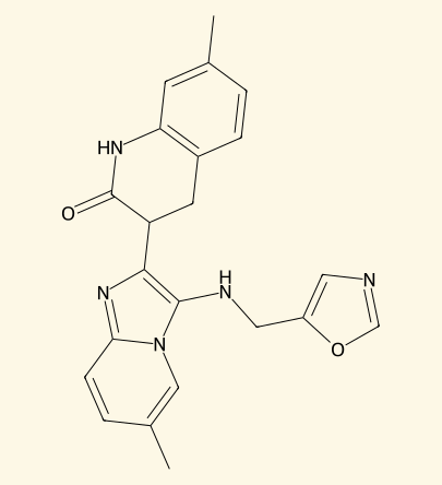 Cc1ccc2c(c1)NC(=O)C(c1nc3ccc(C)cn3c1NCc1cnco1)C2